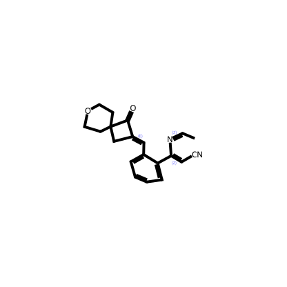 C/C=N\C(=C/C#N)c1ccccc1/C=C1\CC2(CCOCC2)C1=O